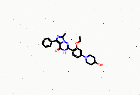 CCOc1cc(N2CCC(O)CC2)ccc1-c1nn2c(C)nc(-c3ccccc3)c2c(=O)[nH]1